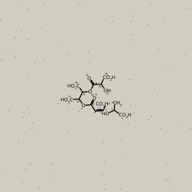 CC(O)C(=O)O.O=C(O)/C=C\C(=O)OC(C(=O)O)C(OC(=O)C(O)C(=O)O)C(=O)O